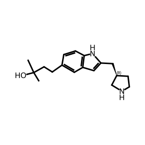 CC(C)(O)CCc1ccc2[nH]c(C[C@H]3CCNC3)cc2c1